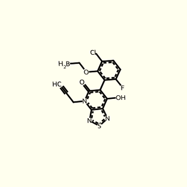 BCOc1c(Cl)ccc(F)c1-c1c(O)c2nsnc2n(CC#C)c1=O